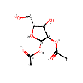 CC(=O)OC1C(O)[C@@H](CO)O[C@H]1OC(C)=O